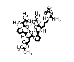 CC(C)OC(=O)CC(NC(=O)C1CCCN1C(=O)C(N)C(C)C)C(=O)N1CCCC1C(=O)NC(CCCN/C(N)=N\[N+](=O)[O-])C(=O)OC(C)C